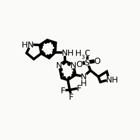 CS(=O)(=O)C(Nc1nc(Nc2ccc3c(c2)CCN3)ncc1C(F)(F)F)C1CNC1